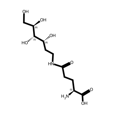 N[C@@H](CCC(=O)NCC[C@@H](O)[C@H](O)[C@H](O)CO)C(=O)O